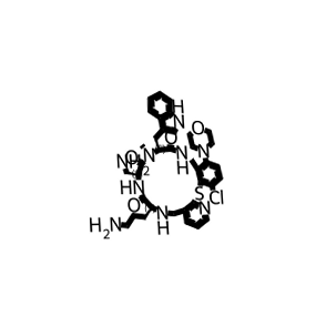 CN1C(=O)[C@H](CN)NC(=O)[C@H](CCCN)NCc2cccnc2Sc2c(Cl)ccc(N3CCOCC3)c2CNC(=O)[C@@H]1Cc1c[nH]c2ccccc12